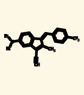 C#CC1=C(C)C(=Cc2ccc(C(F)(F)F)cc2)c2ccc(N(CC)CC)cc21